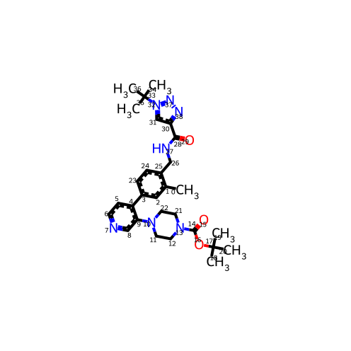 Cc1cc(-c2ccncc2N2CCN(C(=O)OC(C)(C)C)CC2)ccc1CNC(=O)c1cn(C(C)(C)C)nn1